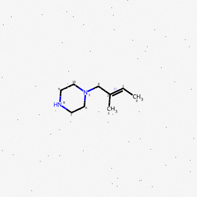 C/C=C(\C)CN1CCNCC1